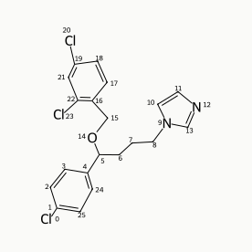 Clc1ccc(C(CCCn2ccnc2)OCc2ccc(Cl)cc2Cl)cc1